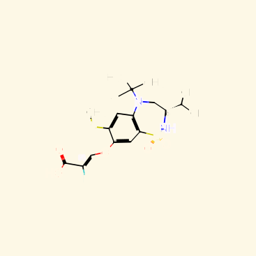 CSc1cc2c(cc1O/C=C(\F)C(=O)O)S(=O)(=O)N[C@H](C(C)C)CN2C(C)(C)C